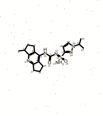 CC1CCc2c1nc1c(c2NC(=O)N=[S@@](N)(=O)c2ccn(C(C)C)n2)CCC1